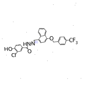 O=C(N/N=C/c1ccc(OCc2ccc(C(F)(F)F)cc2)c2ccccc12)c1ccc(O)c(Cl)c1